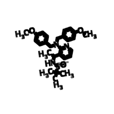 COc1ccc(CN(Cc2ccc(OC)cc2)c2ncccc2C(C)N[S@+]([O-])C(C)(C)C)cc1